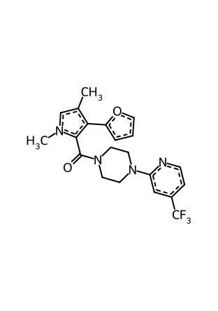 Cc1cn(C)c(C(=O)N2CCN(c3cc(C(F)(F)F)ccn3)CC2)c1-c1ccco1